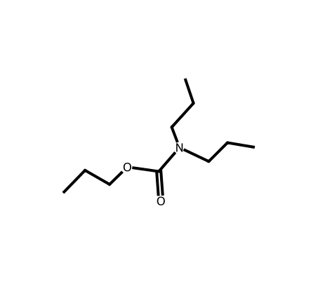 CCCOC(=O)N(CCC)CCC